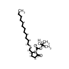 CCCCCCCCCCCCSCC1CCC(=O)N1C(=O)OC(C)(C)C